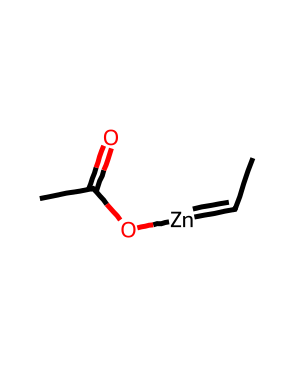 C[CH]=[Zn][O]C(C)=O